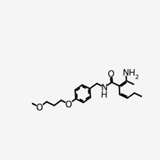 CC/C=C\C(C(=O)NCc1ccc(OCCCOC)cc1)=C(/C)N